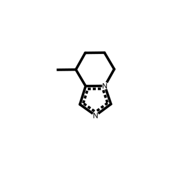 CC1CCCn2cncc21